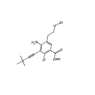 CCOCCc1cc(C(=O)OC)c(Cl)c(C#C[Si](C)(C)C)c1N